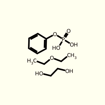 CCOCC.O=P(O)(O)Oc1ccccc1.OCCO